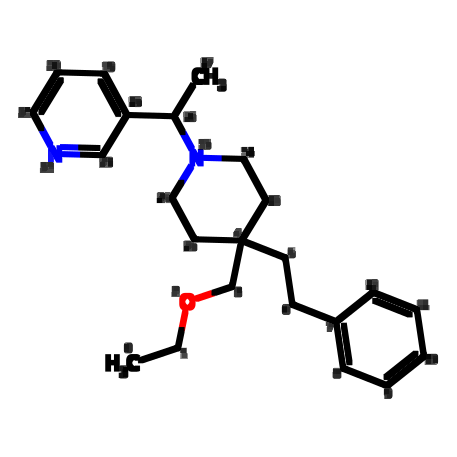 CCOCC1(CCc2ccccc2)CCN(C(C)c2cccnc2)CC1